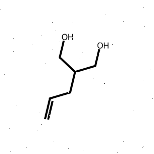 C=CCC(CO)CO